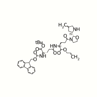 C=CCOC(=O)[C@H](CCC(=O)N1CCOC1[C@@H]1CC(=C)CN1)NC(=O)CC[C@H](NC(=O)OCC1c2ccccc2-c2ccccc21)C(=O)OC(C)(C)C